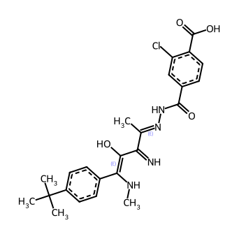 CN/C(=C(/O)C(=N)/C(C)=N/NC(=O)c1ccc(C(=O)O)c(Cl)c1)c1ccc(C(C)(C)C)cc1